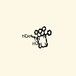 CCCCCCCCCCCCOC1=C(c2ccccc2)C2=NC1=C(O)C1=NC(=CC3=NC(=CC4=NC(=C2c2ccccc2)C(c2ccccc2)=C4c2ccccc2)C=C3)C=C1